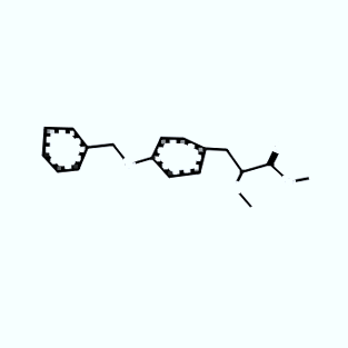 COC(=O)C(Cc1ccc(OCc2ccccc2)cc1)SC